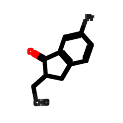 CC(C)c1ccc2c(c1)C(=O)C(CC=O)C2